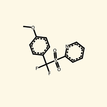 COc1ccc(C(F)(F)S(=O)(=O)c2ccccn2)cc1